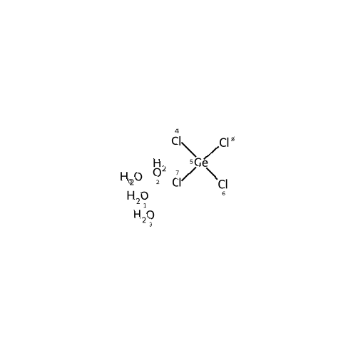 O.O.O.O.[Cl][Ge]([Cl])([Cl])[Cl]